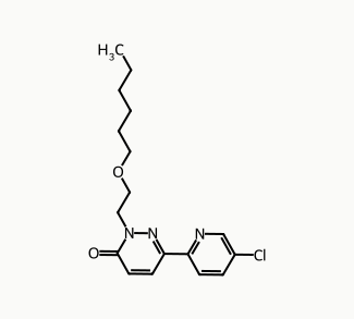 CCCCCCOCCn1nc(-c2ccc(Cl)cn2)ccc1=O